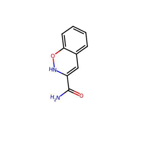 NC(=O)C1=Cc2ccccc2ON1